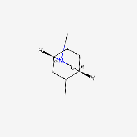 CC1C[C@@H]2CC[C@H]1CN2C